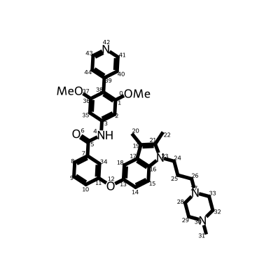 COc1cc(NC(=O)c2cccc(Oc3ccc4c(c3)c(C)c(C)n4CCCN3CCN(C)CC3)c2)cc(OC)c1-c1ccncc1